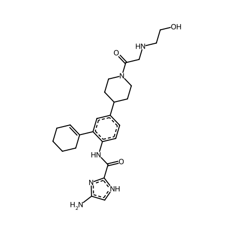 Nc1c[nH]c(C(=O)Nc2ccc(C3CCN(C(=O)CNCCO)CC3)cc2C2=CCCCC2)n1